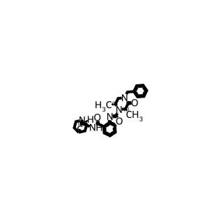 C[C@H]1CN(Cc2ccccc2)C(=O)[C@H](C)N1c1nc2c(C(=O)N[C@@H]3CC4CCN3CC4)cccc2o1